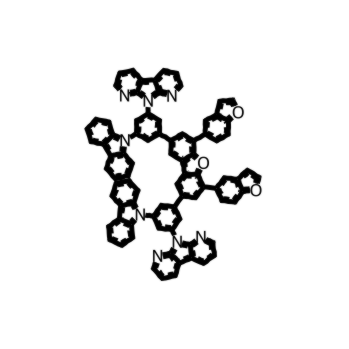 c1ccc2c(c1)c1ccccc1n2-c1cc(-c2cc(-c3ccc4occc4c3)c3oc4c(-c5ccc6occc6c5)cc(-c5cc(-n6c7ccccc7c7ccccc76)cc(-n6c7ncccc7c7cccnc76)c5)cc4c3c2)cc(-n2c3ncccc3c3cccnc32)c1